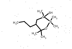 CCCC1C[Si](C)(S)[Si](C)(C)OC1(C)C